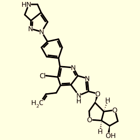 C=CCc1c(Cl)c(-c2ccc(-n3cc4c(n3)CNC4)cc2)nc2nc(O[C@@H]3CO[C@H]4[C@@H]3OC[C@H]4O)[nH]c12